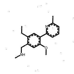 CCc1cc(-c2cccc(C)n2)c(OC)cc1CNC